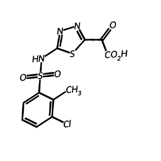 Cc1c(Cl)cccc1S(=O)(=O)Nc1nnc(C(=O)C(=O)O)s1